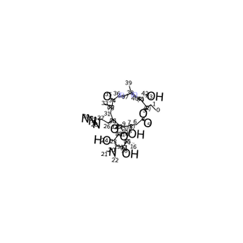 CC[C@H]1OC(=O)C[C@@H](O)[C@H](C)[C@@H](O[C@@H]2O[C@H](C)[C@@H](O)C(N(C)C)C2O)[C@@H](CCN=[N+]=[N-])C[C@@H](C)C(=O)/C=C/C(C)=C/[C@@H]1CO